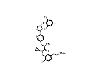 COCCc1ccc(Cl)c(CN(C(=O)[C@H](C#N)Cc2ccc(N3CC[C@H](Oc4c(Cl)cc(C)cc4Cl)C3)nc2)C2CC2)c1